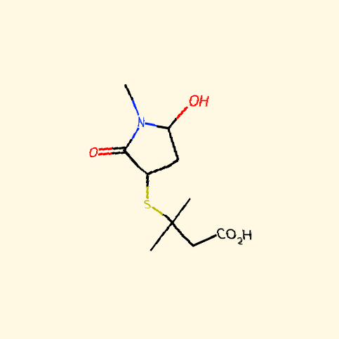 CN1C(=O)C(SC(C)(C)CC(=O)O)CC1O